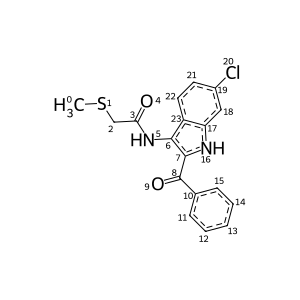 CSCC(=O)Nc1c(C(=O)c2ccccc2)[nH]c2cc(Cl)ccc12